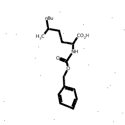 CCCCC(C)CCC(NC(=O)OCc1ccccc1)C(=O)O